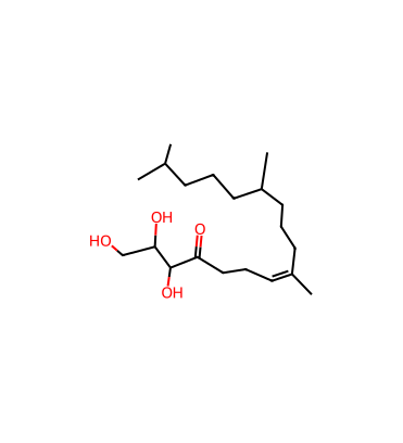 CC(=CCCC(=O)C(O)C(O)CO)CCCC(C)CCCC(C)C